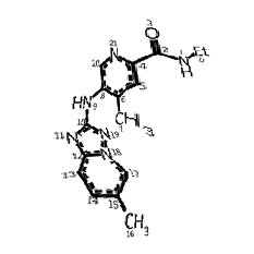 CCNC(=O)c1cc(C)c(Nc2nc3ccc(C)cn3n2)cn1